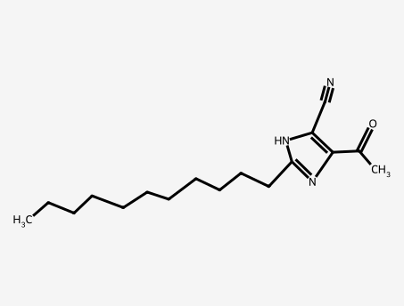 CCCCCCCCCCCc1nc(C(C)=O)c(C#N)[nH]1